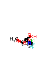 COCOCCC(C)(C)Oc1ccc(C=CC(=O)O)c(Oc2ncc(C(F)(F)F)cc2Cl)c1